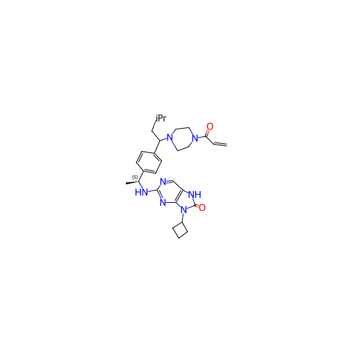 C=CC(=O)N1CCN(C(CC(C)C)c2ccc([C@H](C)Nc3ncc4[nH]c(=O)n(C5CCC5)c4n3)cc2)CC1